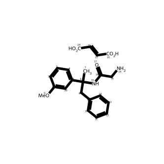 COc1cccc(C(C)(Cc2ccccc2)NC(=O)CN)c1.O=C(O)C=CC(=O)O